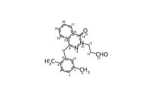 Cc1ccc(C)c(Cc2nn(CCC=O)c(=O)c3ccccc23)c1